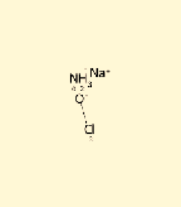 N.[Na+].[O-]Cl